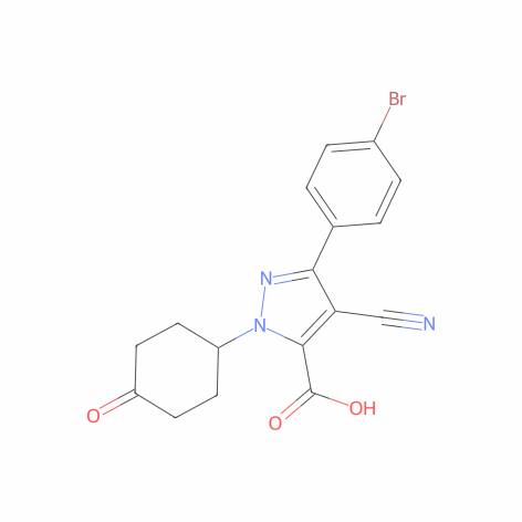 N#Cc1c(-c2ccc(Br)cc2)nn(C2CCC(=O)CC2)c1C(=O)O